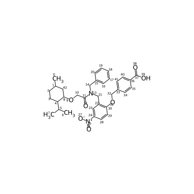 CC1CCC(C(C)C)C(OCC(=O)N(Cc2ccccc2)Cc2cc([N+](=O)[O-])ccc2OCc2ccc(C(=O)O)cc2)C1